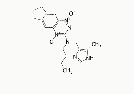 CCCCN(Cc1nc[nH]c1C)c1n[n+]([O-])c2cc3c(cc2[n+]1[O-])CCC3